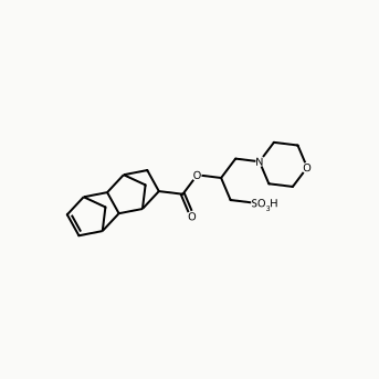 O=C(OC(CN1CCOCC1)CS(=O)(=O)O)C1CC2CC1C1C3C=CC(C3)C21